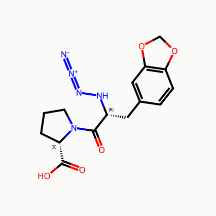 [N-]=[N+]=NN[C@H](Cc1ccc2c(c1)OCO2)C(=O)N1CCC[C@H]1C(=O)O